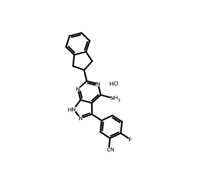 Cl.N#Cc1cc(-c2n[nH]c3nc(C4Cc5ccccc5C4)nc(N)c23)ccc1F